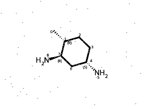 C[C@@H]1CC[C@H](N)C[C@H]1N